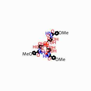 COc1ccc(-c2cn([C@@H]3O[C@H](COP(=O)(OC[C@H]4O[C@@H](n5cc(-c6ccc(OC)cc6)c(=O)[nH]c5=O)[C@H](O)[C@@H]4O)OC[C@H]4O[C@@H](n5cc(-c6ccc(OC)cc6)c(=O)[nH]c5=O)[C@H](O)[C@@H]4O)[C@@H](O)[C@H]3O)c(=O)[nH]c2=O)cc1